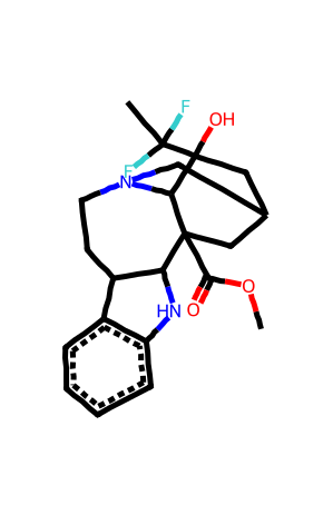 COC(=O)C12CC3CN(CCC4c5ccccc5NC41)C2C(O)(C(C)(F)F)C3